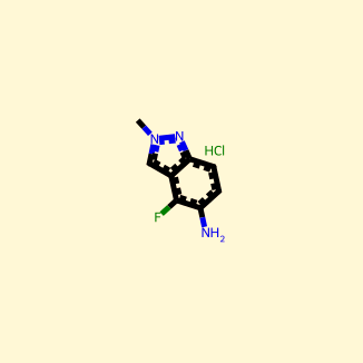 Cl.Cn1cc2c(F)c(N)ccc2n1